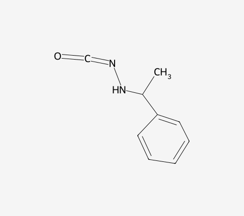 CC(NN=C=O)c1ccccc1